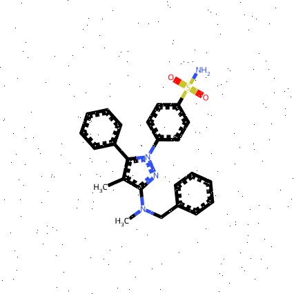 Cc1c(N(C)Cc2ccccc2)nn(-c2ccc(S(N)(=O)=O)cc2)c1-c1ccccc1